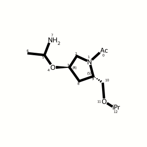 CC(=O)N1C[C@H](OC(C)N)C[C@H]1COC(C)C